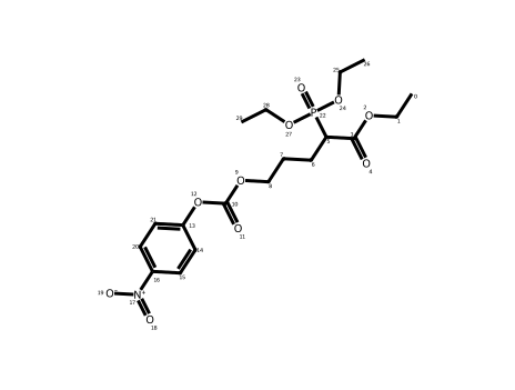 CCOC(=O)C(CCCOC(=O)Oc1ccc([N+](=O)[O-])cc1)P(=O)(OCC)OCC